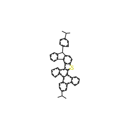 CC(C)c1ccc(C2c3ccccc3-c3c2ccc2sc4c(c5ccccc5c5c6ccc(C(C)C)cc6c6ccccc6c45)c32)cc1